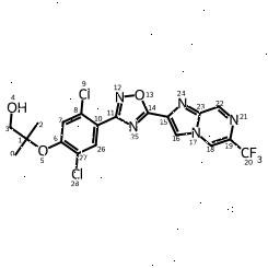 CC(C)(CO)Oc1cc(Cl)c(-c2noc(-c3cn4cc(C(F)(F)F)ncc4n3)n2)cc1Cl